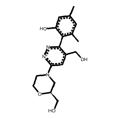 Cc1cc(C)c(-c2nnc(N3CCO[C@H](CO)C3)cc2CO)c(O)c1